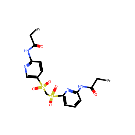 CC(C)CC(=O)Nc1ccc(S(=O)(=O)CS(=O)(=O)c2cccc(NC(=O)CC(C)C)n2)cn1